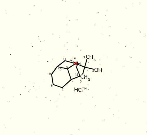 CC(C)(O)CC1C2CCCC1CNC2.Cl